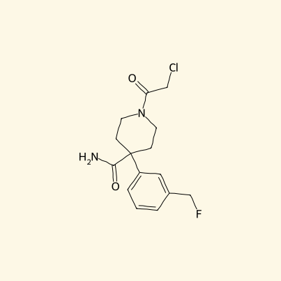 NC(=O)C1(c2cccc(CF)c2)CCN(C(=O)CCl)CC1